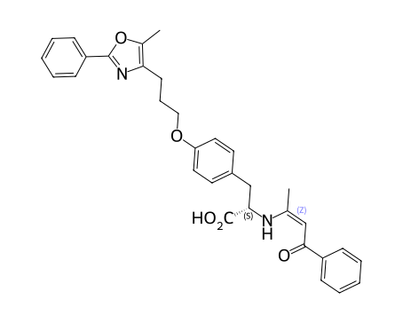 C/C(=C/C(=O)c1ccccc1)N[C@@H](Cc1ccc(OCCCc2nc(-c3ccccc3)oc2C)cc1)C(=O)O